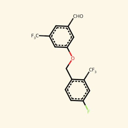 O=Cc1cc(OCc2ccc(F)cc2C(F)(F)F)cc(C(F)(F)F)c1